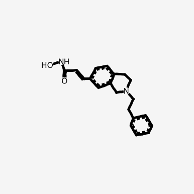 O=C(/C=C/c1ccc2c(c1)CN(CCc1ccccc1)CC2)NO